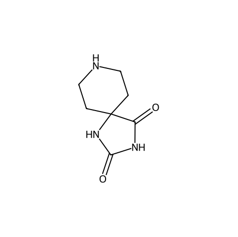 O=C1NC(=O)C2(CCNCC2)N1